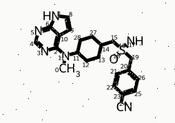 CN(c1ncnc2[nH]ccc12)C1CCC(CS(=N)(=O)Cc2ccc(C#N)cc2)CC1